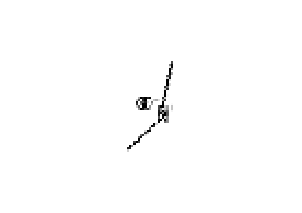 CC(=O)[O-].CCCCCCCCCCCCCCCCCCn1cc[n+](CCCCCCCCCCCCCCCCCC)c1